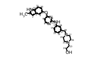 Cc1cc2cc(Oc3ccnc(Nc4cccc(CN5CCN(CCO)CC5)c4)n3)ccc2[nH]1